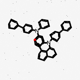 c1ccc(-c2ccc(N(c3ccccc3)c3ccc(-c4cccc5cccc(N(c6ccccc6)c6ccc(-c7ccccc7)cc6)c45)cc3)cc2)cc1